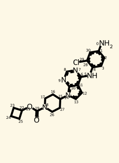 Nc1ccc(Nc2ncnc3c2ccn3C2CCN(C(=O)OC3CCC3)CC2)c(Cl)c1